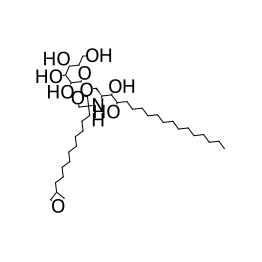 CCCCCCCCCCCCCC[C@@H](O)[C@@H](O)[C@H](COC1OC(CO)C(O)C(O)C1O)NC1(CCCCCCCCCCC2COC2)COC1